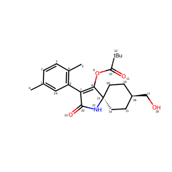 Cc1ccc(C)c(C2=C(OC(=O)C(C)(C)C)[C@]3(CC[C@H](CO)CC3)NC2=O)c1